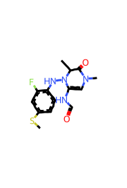 CSc1ccc(NN2C(NC=O)=CN(C)C(=O)C2C)c(F)c1